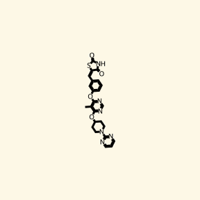 Cc1c(Oc2cccc(C=C3SC(=O)NC3=O)c2)ncnc1OC1CCN(c2ncccn2)CC1